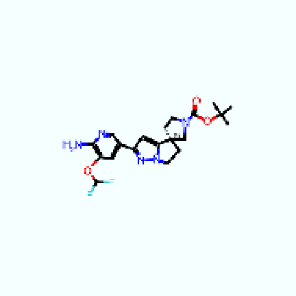 CC(C)(C)OC(=O)N1CC[C@@]2(CCn3nc(-c4cnc(N)c(OC(F)F)c4)cc32)C1